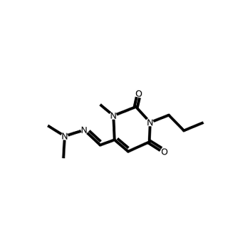 CCCn1c(=O)cc(C=NN(C)C)n(C)c1=O